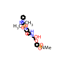 CNS(=O)(=O)c1cccc(OCC(O)CNC2COC3(CCN(S(=O)(=O)c4c(C)nn(-c5ccccc5)c4C)CC3)C2)c1